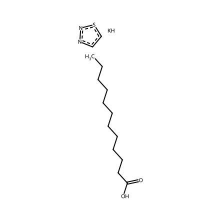 CCCCCCCCCCCC(=O)O.[KH].c1csnn1